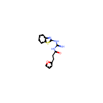 N=C(NC(=O)CCc1ccco1)Nc1nc2ccccc2s1